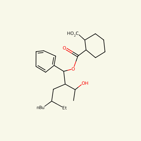 CCCCC(CC)CC(C(C)O)C(OC(=O)C1CCCCC1C(=O)O)c1ccccc1